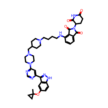 CC1(Oc2ccc3[nH]nc(-c4cc(N5CCN(CC6CCN(CCCCNc7cccc8c7C(=O)N(C7CCC(=O)NC7=O)C8=O)CC6)CC5)ncn4)c3c2)CC1